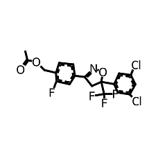 CC(=O)OCc1ccc(C2=NOC(c3cc(Cl)cc(Cl)c3)(C(F)(F)F)C2)cc1F